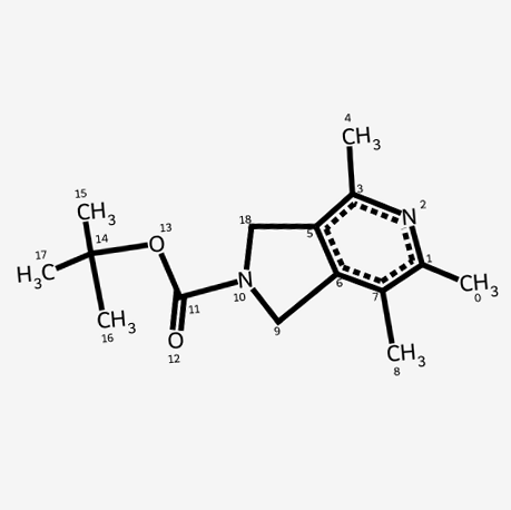 Cc1nc(C)c2c(c1C)CN(C(=O)OC(C)(C)C)C2